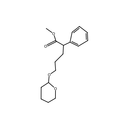 COC(=O)C(CCCOC1CCCCO1)c1ccccc1